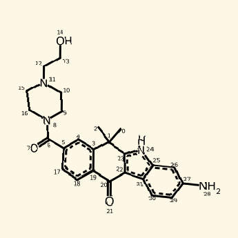 CC1(C)c2cc(C(=O)N3CCN(CCO)CC3)ccc2C(=O)c2c1[nH]c1cc(N)ccc21